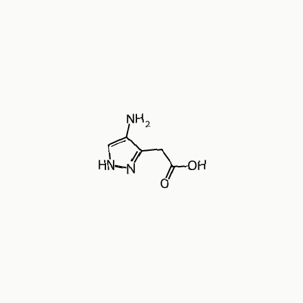 Nc1c[nH]nc1CC(=O)O